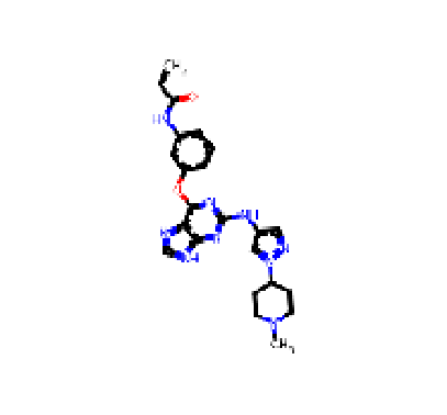 C=CC(=O)Nc1cccc(Oc2nc(Nc3cnn(C4CCN(C)CC4)c3)nc3[nH]cnc23)c1